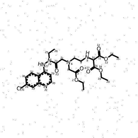 CCOC(=O)CN(CCNC(C(=O)OCC)C(=O)OCC)CC(=O)N(CC)Nc1ccnc2cc(Cl)ccc12